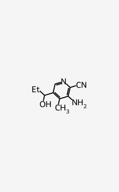 CCC(O)c1cnc(C#N)c(N)c1C